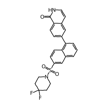 O=c1[nH]ccc2cc(-c3cccc4cc(S(=O)(=O)N5CCC(F)(F)CC5)ccc34)ccc12